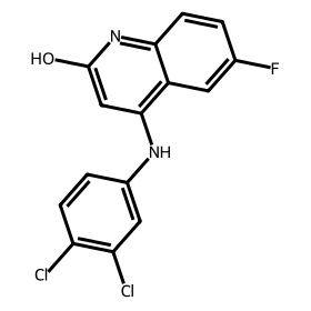 Oc1cc(Nc2ccc(Cl)c(Cl)c2)c2cc(F)ccc2n1